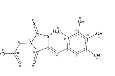 Cc1cc(/C=C2\SC(=S)N(CC(=O)O)C2=O)c(C)c(O)c1O